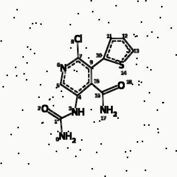 NC(=O)Nc1cnc(Cl)c(-c2cccs2)c1C(N)=O